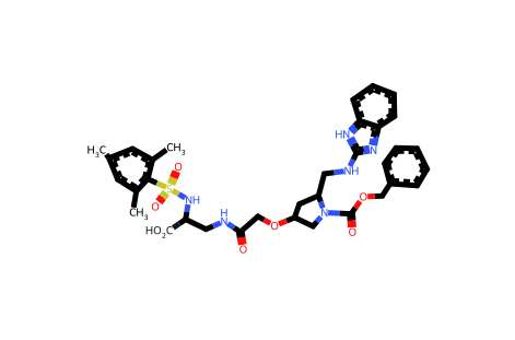 Cc1cc(C)c(S(=O)(=O)NC(CNC(=O)COC2CC(CNc3nc4ccccc4[nH]3)N(C(=O)OCc3ccccc3)C2)C(=O)O)c(C)c1